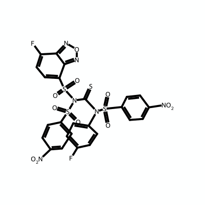 O=[N+]([O-])c1ccc(S(=O)(=O)N(C(=S)N(S(=O)(=O)c2ccc([N+](=O)[O-])cc2)S(=O)(=O)c2ccc(F)c3nonc23)c2ccc(F)cc2)cc1